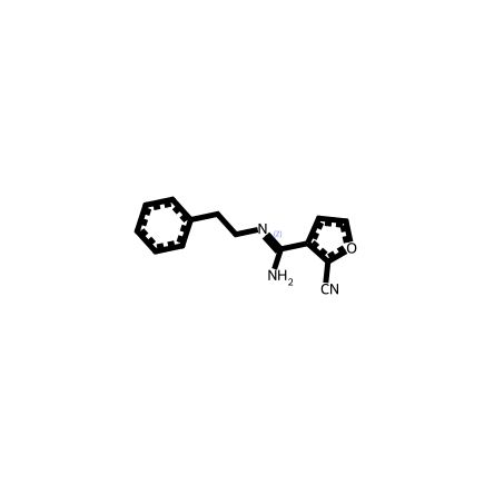 N#Cc1occc1/C(N)=N/CCc1ccccc1